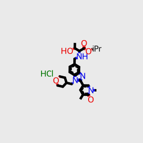 Cc1cc(-c2nc3cc(CNC(C(=O)OC(C)C)C(C)O)ccc3n2CC2CCOCC2)cn(C)c1=O.Cl